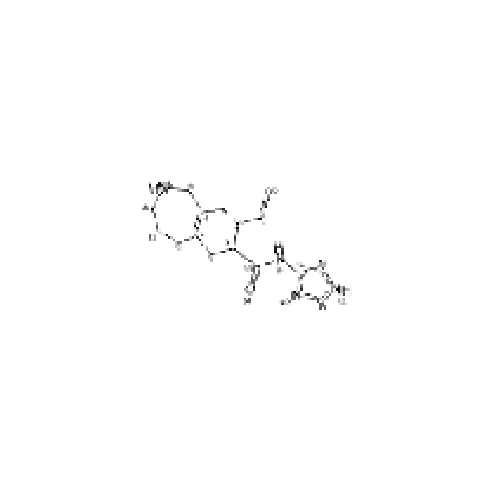 C=CCC(CC1=C(C)CNCCC1)C(=O)Nc1c[nH]cn1